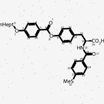 CCCCCCCOc1ccc(C(=O)Oc2ccc(C[C@H](NC(=O)c3ccc(SC)cc3)C(=O)O)cc2)cc1